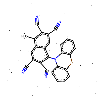 Cc1c(C#N)c(C#N)cc2c(N3c4ccccc4Sc4ccccc43)c(C#N)c(C#N)cc12